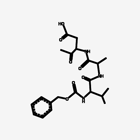 CC(=O)C(CC(=O)O)NC(=O)C(C)NC(=O)C(NC(=O)OCc1ccccc1)C(C)C